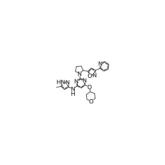 Cc1cc(Nc2cc(OC3CCOCC3)nc(N3CCCC3c3cc(-c4ccccn4)no3)n2)n[nH]1